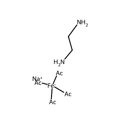 C[C](=O)[Fe-]([C](C)=O)([C](C)=O)[C](C)=O.NCCN.[Na+]